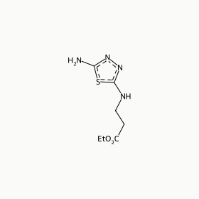 CCOC(=O)CCNc1nnc(N)s1